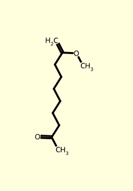 C=C(CCCCCCC(C)=O)OC